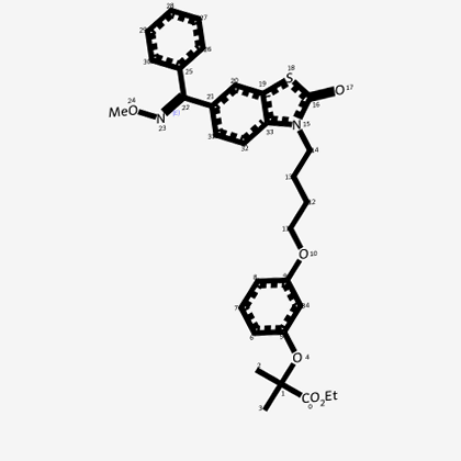 CCOC(=O)C(C)(C)Oc1cccc(OCCCCn2c(=O)sc3cc(/C(=N/OC)c4ccccc4)ccc32)c1